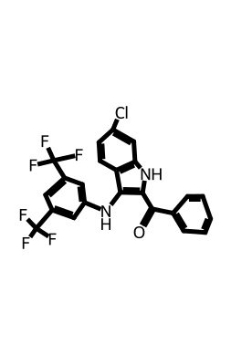 O=C(c1ccccc1)c1[nH]c2cc(Cl)ccc2c1Nc1cc(C(F)(F)F)cc(C(F)(F)F)c1